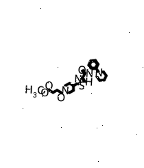 COC(=O)CCC(=O)N1CCC(c2nc(C(=O)Nc3ccccc3N3CCCCC3)cs2)CC1